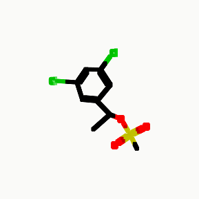 CC(OS(C)(=O)=O)c1cc(Cl)cc(Cl)c1